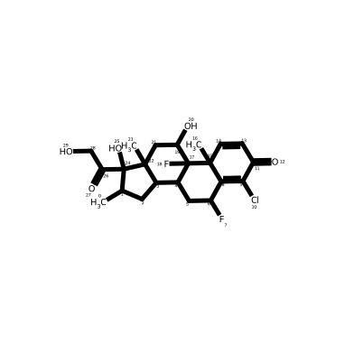 CC1CC2C3CC(F)C4=C(Cl)C(=O)C=CC4(C)C3(F)C(O)CC2(C)C1(O)C(=O)CO